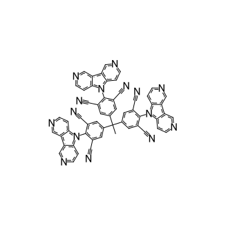 CC(c1cc(C#N)c(-n2c3ccncc3c3cnccc32)c(C#N)c1)(c1cc(C#N)c(-n2c3ccncc3c3cnccc32)c(C#N)c1)c1cc(C#N)c(-n2c3ccncc3c3cnccc32)c(C#N)c1